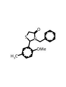 COc1ccc(C)cc1C1SCC(=O)N1Cc1ccccc1